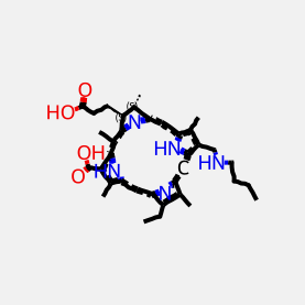 CCCCNCc1c(C)c2cc3nc(c(C)c4[nH]c(cc5nc(cc1[nH]2)C(C)=C5CC)c(C)c4C(=O)O)[C@@H](CCC(=O)O)[C@@H]3C